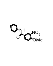 COc1ccc(C(=O)Nc2ccccc2)cc1[N+](=O)[O-]